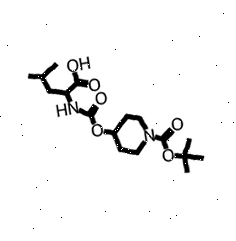 CC(C)CC(NC(=O)OC1CCN(C(=O)OC(C)(C)C)CC1)C(=O)O